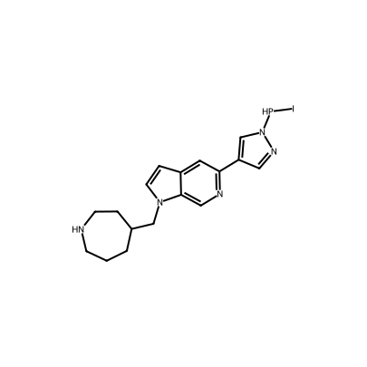 IPn1cc(-c2cc3ccn(CC4CCCNCC4)c3cn2)cn1